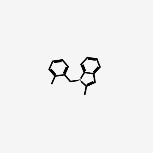 Cc1ccccc1Cn1c(C)cc2ccccc21